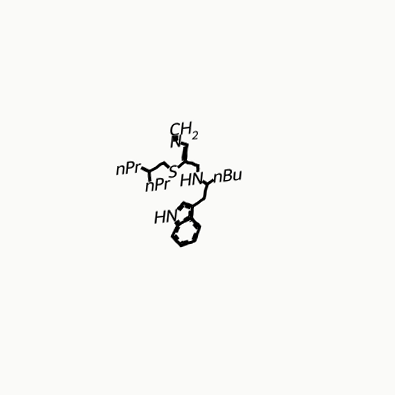 C=N/C=C(/CNC(CCCC)Cc1c[nH]c2ccccc12)SCC(CCC)CCC